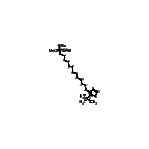 CO[Si](CCCCCCCCCCCCCC1=[C]([Pt]([CH3])([CH3])[CH3])CC=C1)(OC)OC